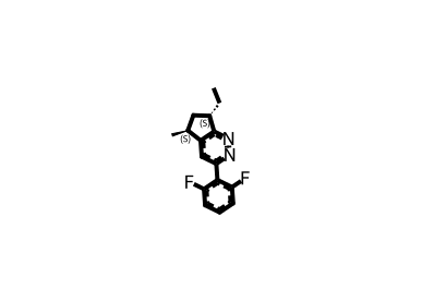 CC[C@H]1C[C@H](C)c2cc(-c3c(F)cccc3F)nnc21